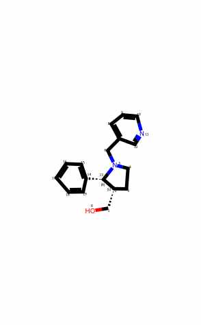 OC[C@H]1CCN(Cc2cccnc2)[C@H]1c1ccccc1